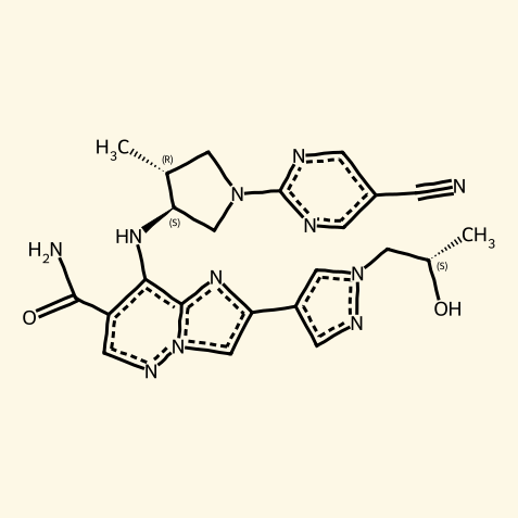 C[C@H](O)Cn1cc(-c2cn3ncc(C(N)=O)c(N[C@@H]4CN(c5ncc(C#N)cn5)C[C@H]4C)c3n2)cn1